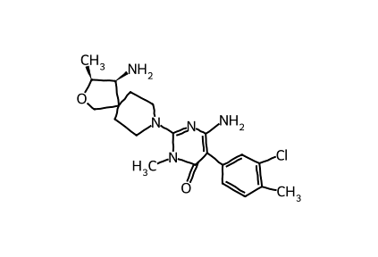 Cc1ccc(-c2c(N)nc(N3CCC4(CC3)CO[C@@H](C)[C@H]4N)n(C)c2=O)cc1Cl